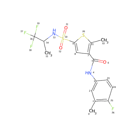 Cc1cc(NC(=O)c2cc(S(=O)(=O)NC(C)C(F)(F)F)sc2C)ccc1F